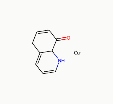 O=C1C=CCC2=CC=CNC12.[Cu]